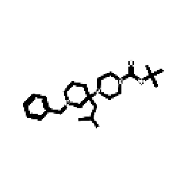 CC(C)CC1(N2CCN(C(=O)OC(C)(C)C)CC2)CCCN(Cc2ccccc2)C1